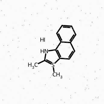 CC1=S(C)c2ccc3ccccc3c2N1.I